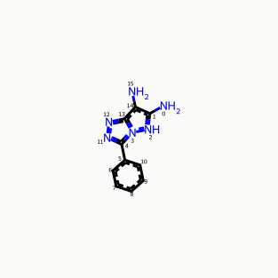 Nc1[nH]n2c(-c3ccccc3)nnc2c1N